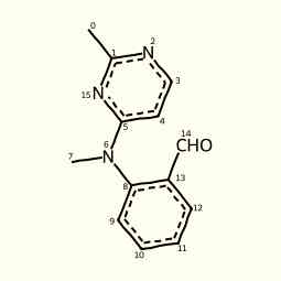 Cc1nccc(N(C)c2ccccc2C=O)n1